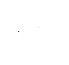 CC(=O)O[C@H]1CCC[C@@H](C)C1